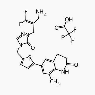 Cc1cc(-c2ccc(Cn3cnn(CC(CN)=C(F)F)c3=O)s2)cc2c1NC(=O)CC2.O=C(O)C(F)(F)F